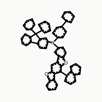 c1ccc(-c2ccc(N(c3ccc4c(c3)C(c3ccccc3)(c3ccccc3)c3ccccc3-4)c3ccc4oc5c(-c6cccc7ccccc67)c6c(cc5c4c3)oc3ccccc36)cc2)cc1